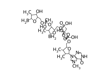 BC1OC(COP(=C)(O)OC2C(COP(=O)(O)CP(=O)(O)OP(=O)(O)OCC3OC(n4c[n+](C)c5c(=O)[nH]cnc54)C(C)C3C)OC(B)C2C)C(O)C1C